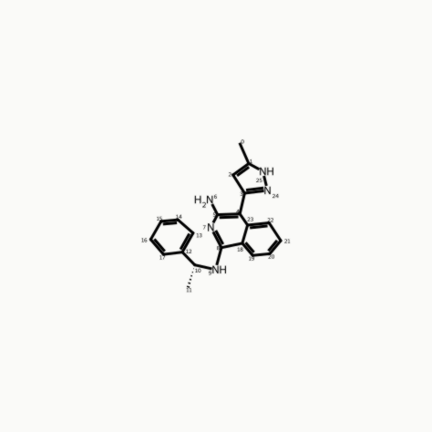 Cc1cc(-c2c(N)nc(N[C@H](C)c3ccccc3)c3ccccc23)n[nH]1